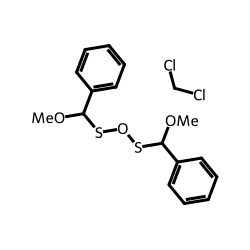 COC(SOSC(OC)c1ccccc1)c1ccccc1.ClCCl